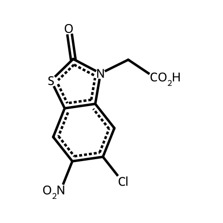 O=C(O)Cn1c(=O)sc2cc([N+](=O)[O-])c(Cl)cc21